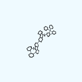 c1ccc(C2(c3ccccc3)c3ccccc3-c3ccc(-n4c5ccccc5c5cc(-c6ccc7c(c6)c6cccc8c6n7-c6ccccc6-c6ccccc6-8)ccc54)cc32)cc1